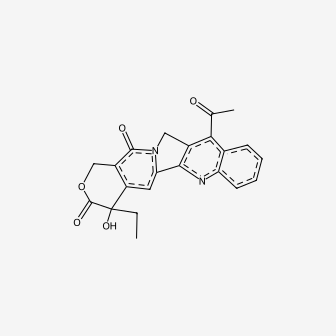 CCC1(O)C(=O)OCc2c1cc1n(c2=O)Cc2c-1nc1ccccc1c2C(C)=O